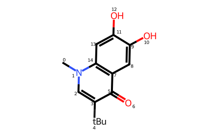 Cn1cc(C(C)(C)C)c(=O)c2cc(O)c(O)cc21